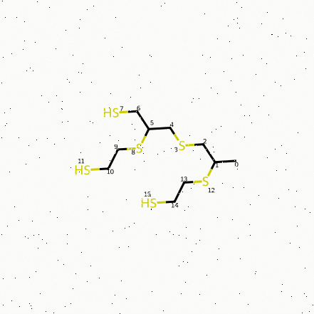 CC(CSCC(CS)SCCS)SCCS